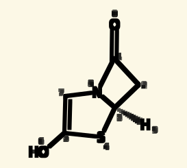 O=C1C[C@H]2SC(O)=CN12